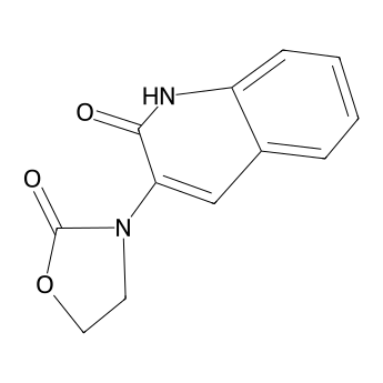 O=C1OCCN1c1cc2ccccc2[nH]c1=O